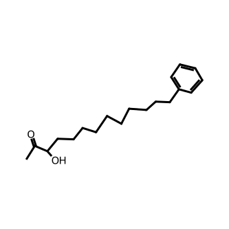 CC(=O)C(O)CCCCCCCCCCc1ccccc1